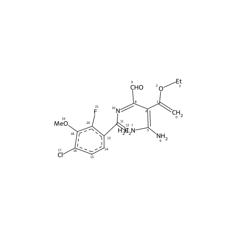 C=C(OCC)C(=C(N)N)/C(C=O)=N\C(=C)c1ccc(Cl)c(OC)c1F